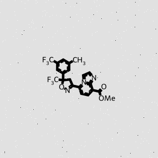 COC(=O)c1ccc(C2=NOC(c3cc(C)cc(C(F)(F)F)c3)(C(F)(F)F)C2)n2ccnc12